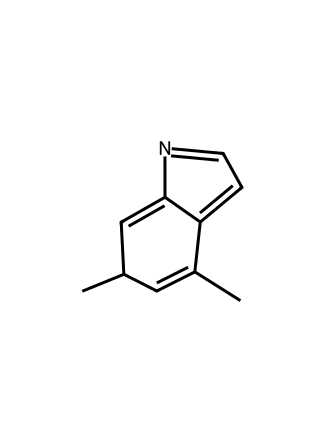 CC1=CC(C)C=C2N=CC=C12